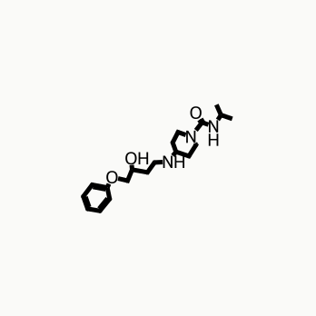 CC(C)NC(=O)N1CCC(NCCC(O)COc2ccccc2)CC1